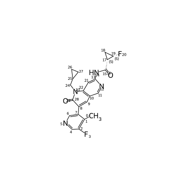 Cc1c(F)cncc1-c1cc2cnc(NC(=O)[C@@H]3C[C@@H]3F)cc2n(CC2CC2)c1=O